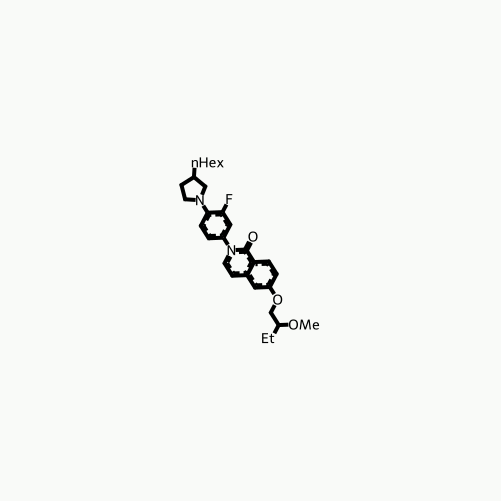 CCCCCCC1CCN(c2ccc(-n3ccc4cc(OCC(CC)OC)ccc4c3=O)cc2F)C1